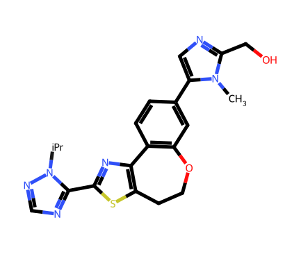 CC(C)n1ncnc1-c1nc2c(s1)CCOc1cc(-c3cnc(CO)n3C)ccc1-2